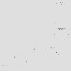 COCCOc1ccnc(-c2nsc(NC(=O)c3ccc(C(F)(F)F)cc3)n2)c1